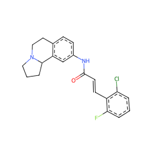 O=C(C=Cc1c(F)cccc1Cl)Nc1ccc2c(c1)C1CCCN1CC2